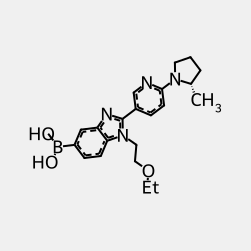 CCOCCn1c(-c2ccc(N3CCC[C@@H]3C)nc2)nc2cc(B(O)O)ccc21